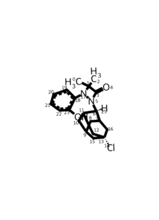 CC1(C)C(=O)N([C@H]2C3CC4CC2C[C@](Cl)(C4)C3)N1c1ccccc1O